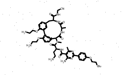 Cc1nc(-c2ccc(OCCC(C)(C)C)cc2)nc(N)c1C(=O)NC(CCN)C(=O)N(C)C1C(=O)NC(C)C(=O)NC(C(=O)NCC#N)Cc2ccc(OCCN)c(c2)-c2cc1ccc2OCCN